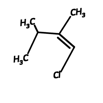 CC(=CCl)C(C)C